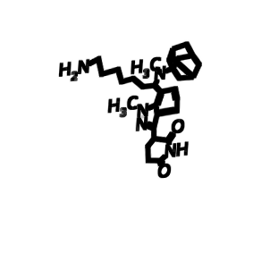 CN(C(CCCCCCN)c1cccc2c(C3CCC(=O)NC3=O)nn(C)c12)C12CC3CC(CC(C3)C1)C2